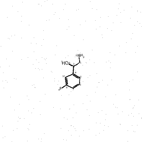 NCC(O)c1cccc(F)c1